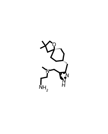 CN(CCN)Cc1c[nH]nc1C[C@H]1CC[C@]2(CC1)CC(C)(C)CO2